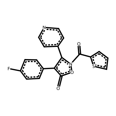 O=C(c1cccs1)n1oc(=O)c(-c2ccc(F)cc2)c1-c1ccncc1